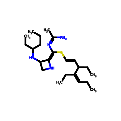 CC/C=C(/CC)C(/C=C/SC(/N=C(/C)N)=C1\NCC1NC(CC)CCC)CC